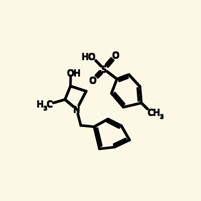 CC1C(O)CN1Cc1ccccc1.Cc1ccc(S(=O)(=O)O)cc1